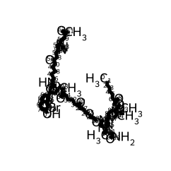 CCCCCCCC(=O)CP(=O)(N(C)C)N1CCN(c2nc(OCCOCCCC(=O)CCCCC(=O)N(C)CCC(OC(=O)NCCCCCC(=O)CCc3cn(CCC(C)=O)nn3)c3ccc4ccc(O)c(Br)c4n3)nc(N(C)CC(N)=O)n2)CC1